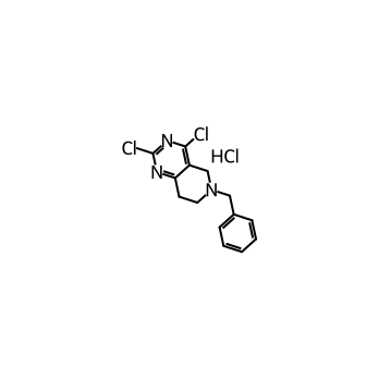 Cl.Clc1nc(Cl)c2c(n1)CCN(Cc1ccccc1)C2